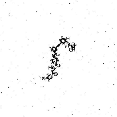 Cc1ccoc1C(=O)Nc1cccc(C#Cc2cncc(C(=O)N=S3CCN(C(=O)NCCC(=O)N4CCC(O)C4)CC3)c2)c1